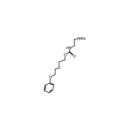 CNCCNC(=O)OCCOCCOc1ccccc1